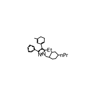 CCCC1CCC(Cn2nc(-c3ccccc3)c(C3=CCCC(C)=C3)c2CC)CC1